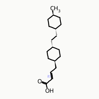 C[C@H]1CC[C@H](CC[C@H]2CC[C@H](C/C=C/C(=O)O)CC2)CC1